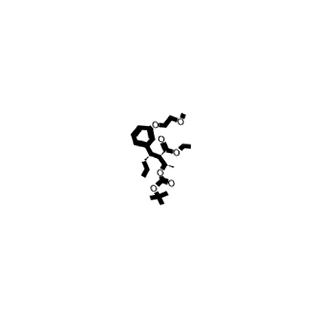 CCC[C@H](c1cccc(OCCOC)c1)[C@H](C(=O)OCC)[C@H](C)OC(=O)OC(C)(C)C